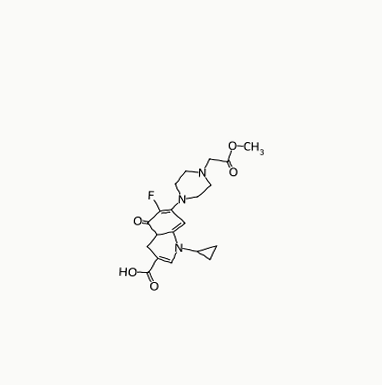 COC(=O)CN1CCN(C2=C(F)C(=O)C3CC(C(=O)O)=CN(C4CC4)C3=C2)CC1